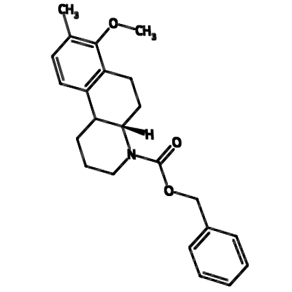 COc1c(C)ccc2c1CC[C@H]1C2CCCN1C(=O)OCc1ccccc1